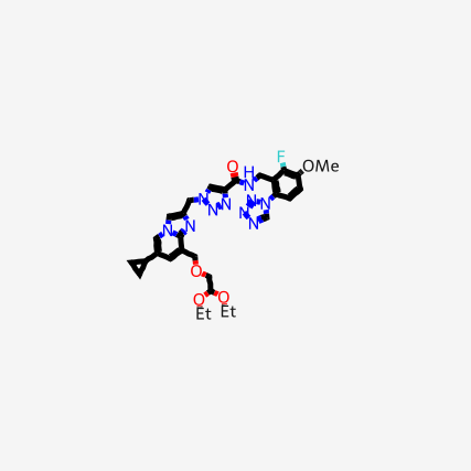 CCOC(COCc1cc(C2CC2)cn2cc(Cn3cc(C(=O)NCc4c(-n5cnnn5)ccc(OC)c4F)nn3)nc12)OCC